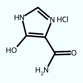 Cl.NC(=O)c1nc[nH]c1O